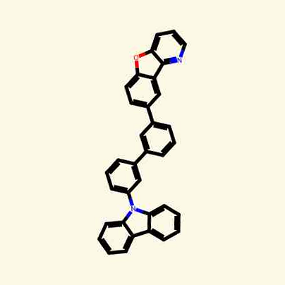 c1cc(-c2cccc(-n3c4ccccc4c4ccccc43)c2)cc(-c2ccc3oc4cccnc4c3c2)c1